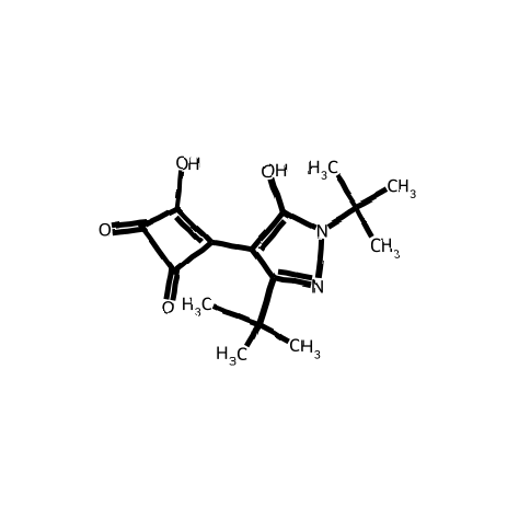 CC(C)(C)c1nn(C(C)(C)C)c(O)c1-c1c(O)c(=O)c1=O